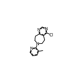 Cc1cccnc1N1CCc2ncnc(Cl)c2CC1